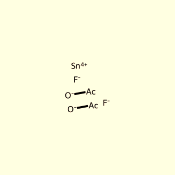 CC(=O)[O-].CC(=O)[O-].[F-].[F-].[Sn+4]